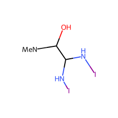 CNC(O)C(NI)NI